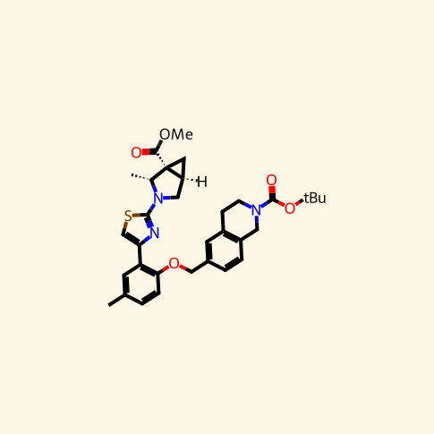 COC(=O)[C@]12C[C@H]1CN(c1nc(-c3cc(C)ccc3OCc3ccc4c(c3)CCN(C(=O)OC(C)(C)C)C4)cs1)[C@@H]2C